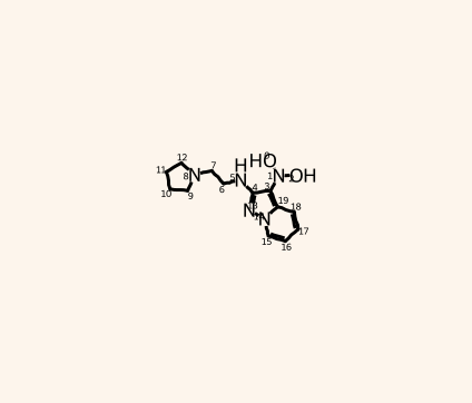 ON(O)c1c(NCCN2CCCC2)nn2ccccc12